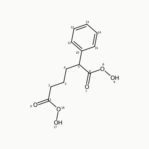 O=C(CCCC(C(=O)OO)c1ccccc1)OO